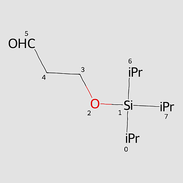 CC(C)[Si](OCCC=O)(C(C)C)C(C)C